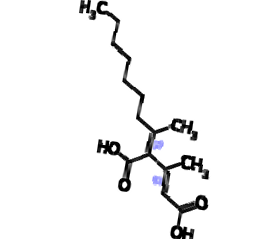 CCCCCCC/C(C)=C(C(=O)O)/C(C)=C/C(=O)O